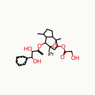 C=C(OC1C2C(C)CCC2C2(C)OC1(C(C)C)CC2OC(=O)CO)C(O)C(O)c1ccccc1